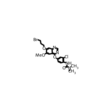 COc1cc2c(Oc3ccc(NC(=O)N(C)C)c(Cl)c3)ncnc2cc1OCCCBr